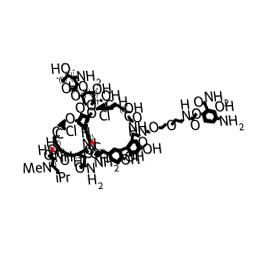 CN[C@H](CC(C)C)C(=O)N[C@H]1C(=O)C[C@@H](CC(N)=O)C(=O)N[C@H]2C(=O)C[C@@H](C(N)=O)c3ccc(O)c(c3)-c3c(O)cc(O)cc3C(C(=O)NCOCCOCCNC(=O)Oc3ccc(N)c(O)c3C(N)=O)NC(=O)C[C@H](O)c3ccc(c(Cl)c3)Oc3cc2cc(c3OC2O[C@@H](CO)[C@@H](O)[C@H](O)[C@@H]2O[C@@H]2C[C@](C)(N)[C@H](O)[C@@H](C)O2)Oc2ccc(cc2Cl)[C@H]1O